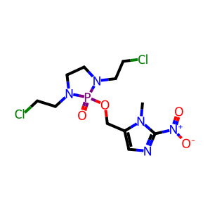 Cn1c(COP2(=O)N(CCCl)CCN2CCCl)cnc1[N+](=O)[O-]